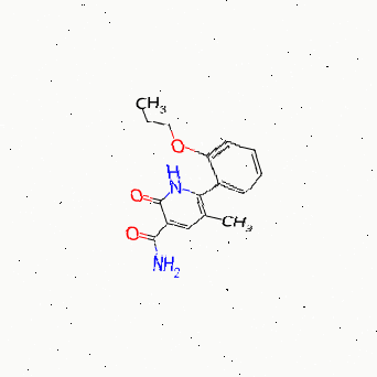 CCCOc1ccccc1-c1[nH]c(=O)c(C(N)=O)cc1C